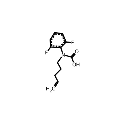 C=CCCCN(C(=O)O)c1c(F)cccc1F